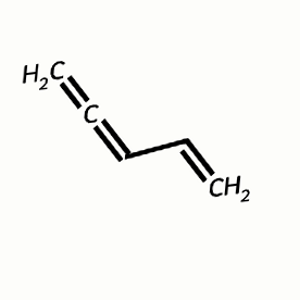 C=C=CC=C